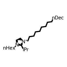 CCCCCCCCCCCCCCCCCCC[n+]1ccn(CCCCCC)c1C(C)C